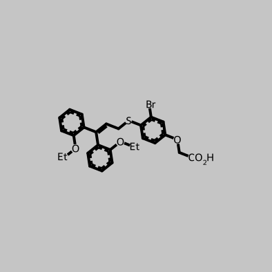 CCOc1ccccc1C(=CCSc1ccc(OCC(=O)O)cc1Br)c1ccccc1OCC